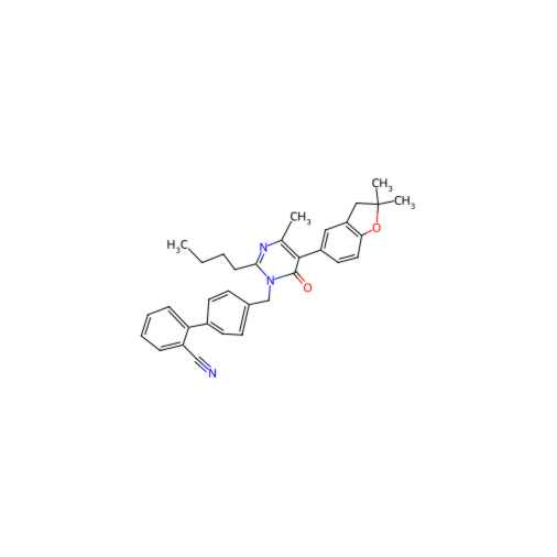 CCCCc1nc(C)c(-c2ccc3c(c2)CC(C)(C)O3)c(=O)n1Cc1ccc(-c2ccccc2C#N)cc1